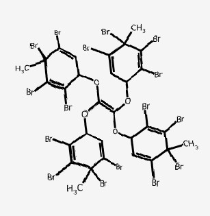 CC1(Br)C(Br)=CC(OC(OC2C=C(Br)C(C)(Br)C(Br)=C2Br)=C(OC2C=C(Br)C(C)(Br)C(Br)=C2Br)OC2C=C(Br)C(C)(Br)C(Br)=C2Br)C(Br)=C1Br